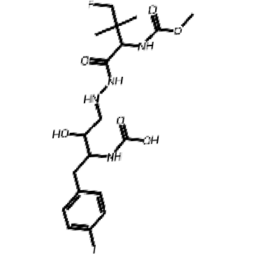 COC(=O)NC(C(=O)NNCC(O)C(Cc1ccc(I)cc1)NC(=O)O)C(C)(C)CF